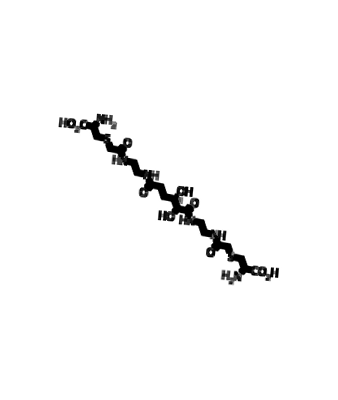 NC(CSCC(=O)NCCNC(=O)CC[C@@H](O)C(O)C(=O)NCCNC(=O)CSCC(N)C(=O)O)C(=O)O